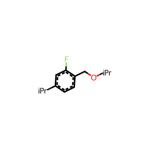 CC(C)OCc1ccc(C(C)C)cc1F